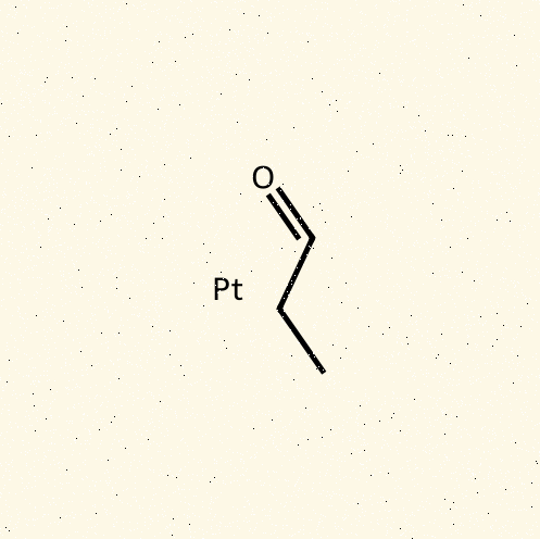 CCC=O.[Pt]